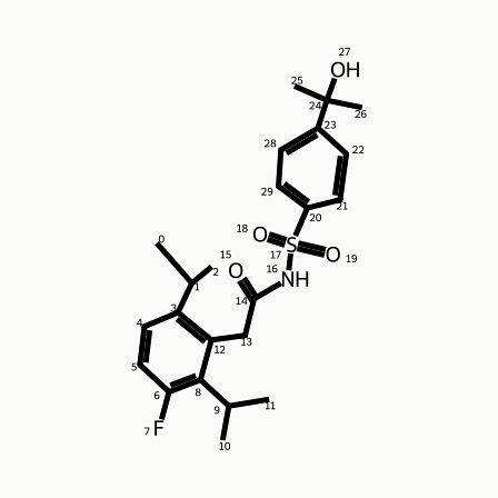 CC(C)c1ccc(F)c(C(C)C)c1CC(=O)NS(=O)(=O)c1ccc(C(C)(C)O)cc1